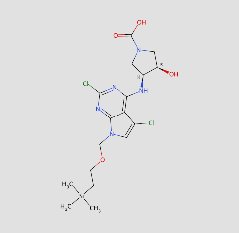 C[Si](C)(C)CCOCn1cc(Cl)c2c(N[C@H]3CN(C(=O)O)C[C@H]3O)nc(Cl)nc21